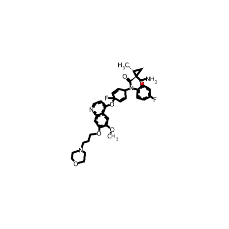 COc1cc2c(OC3(F)C=CC(N(C(=O)[C@]4(C(N)=O)C[C@H]4C)c4ccc(F)cc4)C=C3)ccnc2cc1OCCCN1CCOCC1